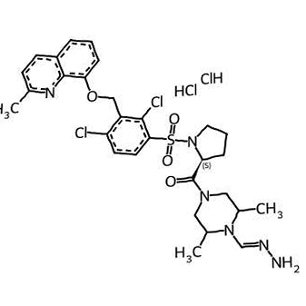 Cc1ccc2cccc(OCc3c(Cl)ccc(S(=O)(=O)N4CCC[C@H]4C(=O)N4CC(C)N(C=NN)C(C)C4)c3Cl)c2n1.Cl.Cl